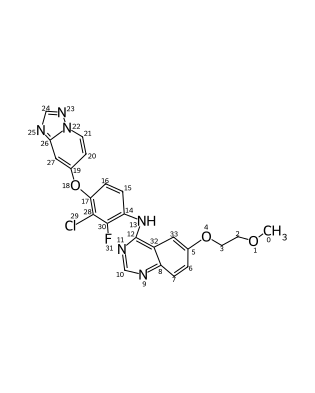 COCCOc1ccc2ncnc(Nc3ccc(Oc4ccn5ncnc5c4)c(Cl)c3F)c2c1